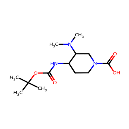 CN(C)C1CN(C(=O)O)CCC1NC(=O)OC(C)(C)C